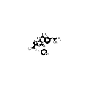 CC(C)Oc1cccc([C@H](C)Nc2nc(O[C@@H]3CCCNC3)nc3c(C(C)C)cnn23)c1